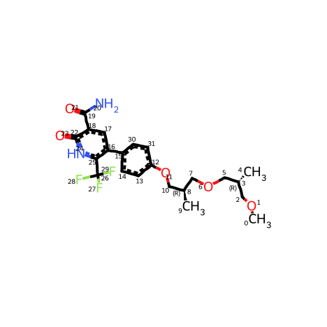 COC[C@@H](C)COC[C@@H](C)COc1ccc(-c2cc(C(N)=O)c(=O)[nH]c2C(F)(F)F)cc1